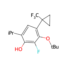 CC(C)c1cc(C2(C(F)(F)F)CC2)c(OC(C)(C)C)c(F)c1O